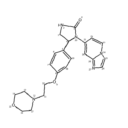 O=C1NCC(c2ccc(OCCN3CCOCC3)cc2)N1c1ccn2ccnc2c1